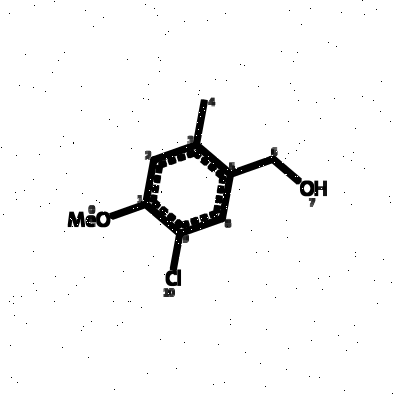 COc1cc(C)c(CO)cc1Cl